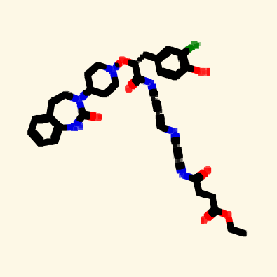 CCOC(=O)CCC(=O)N=C=C=NC=C=C=NC(=O)[C@@H](Cc1ccc(O)c(Br)c1)ON1CCC(N2CCc3ccccc3NC2=O)CC1